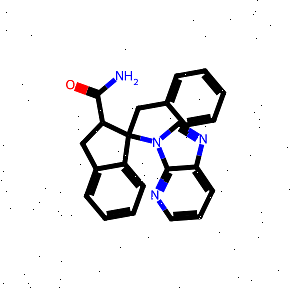 NC(=O)C1Cc2ccccc2C1(Cc1ccccc1)n1cnc2cccnc21